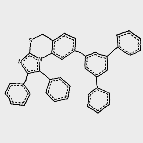 c1ccc(-c2cc(-c3ccccc3)cc(-c3ccc4c(c3)-n3c(nc(-c5ccccc5)c3-c3ccccc3)SC4)c2)cc1